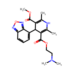 COC(=O)C1=C(C)NC(C)=C(C(=O)OCCN(C)C)C1c1cccc2nonc12